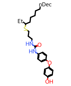 CCCCCCCCCCCCCCCC(CC)SCCCNC(=O)Nc1ccc(Oc2ccc(O)cc2)cc1